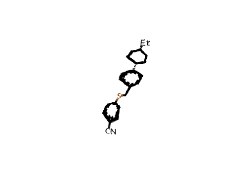 CC[C@H]1CC[C@H](c2ccc(CSc3ccc(C#N)cc3)cc2)CC1